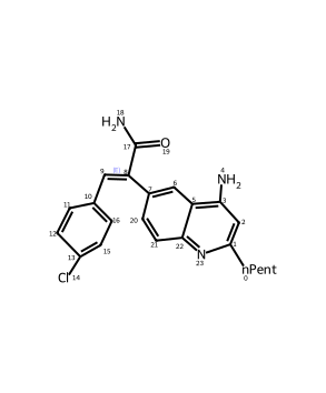 CCCCCc1cc(N)c2cc(/C(=C\c3ccc(Cl)cc3)C(N)=O)ccc2n1